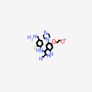 COCCOc1cc2nnc(C#N)c(Nc3ccc(CN)cc3F)c2cc1N1CCN(C)CC1